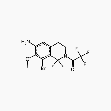 COc1c(N)cc2c(c1Br)C(C)(C)N(C(=O)C(F)(F)F)CC2